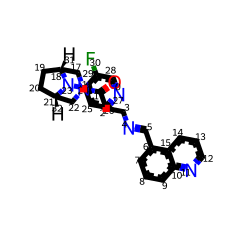 O=C(CC/N=C/c1cccc2ncccc12)N1C[C@H]2CC[C@@H](C1)N2c1ccncc1F